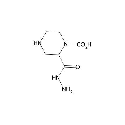 NNC(=O)C1CNCCN1C(=O)O